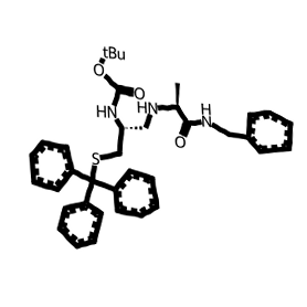 C[C@H](NC[C@H](CSC(c1ccccc1)(c1ccccc1)c1ccccc1)NC(=O)OC(C)(C)C)C(=O)NCc1ccccc1